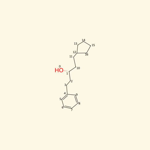 O[C@@H](CCc1ccccc1)CCC1CCCC1